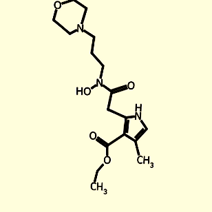 CCOC(=O)c1c(C)c[nH]c1CC(=O)N(O)CCCN1CCOCC1